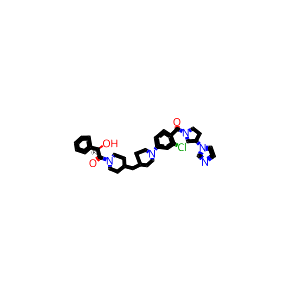 O=C(c1ccc(N2CCC(CC3CCN(C(=O)[C@H](O)c4ccccc4)CC3)CC2)cc1Cl)N1CCC(n2ccnc2)C1